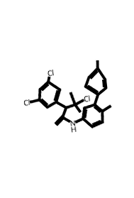 C=C(Nc1ccc(C)c(-c2ccc(C)cc2)c1)C(c1cc(Cl)cc(Cl)c1)C(C)(C)Cl